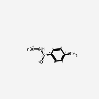 CCCCN[S+]([O-])c1ccc(C)cc1